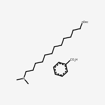 CCCCCCCCCCCCCCCCCCCCCCN(C)C.O=C(O)c1ccccc1